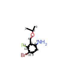 CC(C)OCc1c(N)ccc(Br)c1F